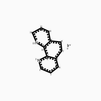 [Ir+].c1cnc2c(c1)ccc1cccnc12